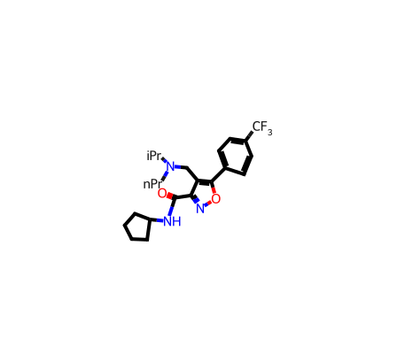 CCCN(Cc1c(C(=O)NC2CCCC2)noc1-c1ccc(C(F)(F)F)cc1)C(C)C